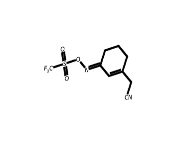 N#CCC1=C/C(=N/OS(=O)(=O)C(F)(F)F)CCC1